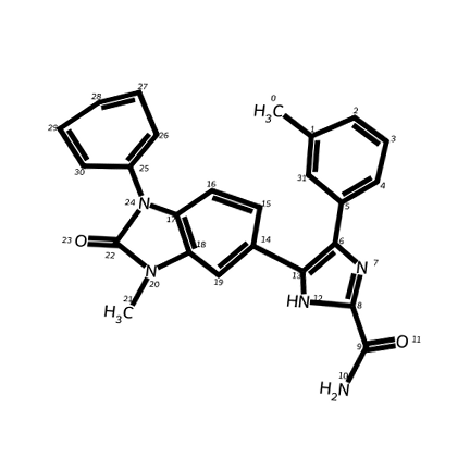 Cc1cccc(-c2nc(C(N)=O)[nH]c2-c2ccc3c(c2)n(C)c(=O)n3-c2ccccc2)c1